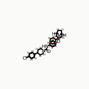 O=C(Nc1ccc(O[C@H]2C[C@H]3CC[C@@H](C2)N3CC2CCCCC2)cc1)N1CCC(c2ccc(Cl)cc2)CC1